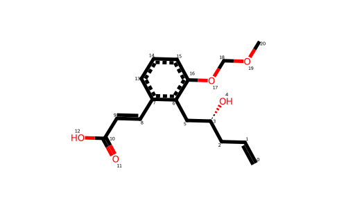 C=CC[C@@H](O)Cc1c(/C=C/C(=O)O)cccc1OCOC